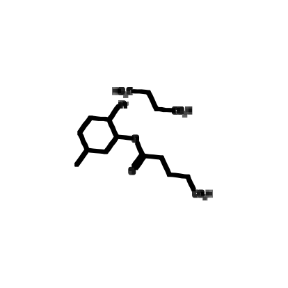 CC1CCC(C(C)C)C(OC(=O)CCCC(=O)O)C1.O=C(O)CCC(=O)O